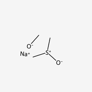 C[O-].C[S+](C)[O-].[Na+]